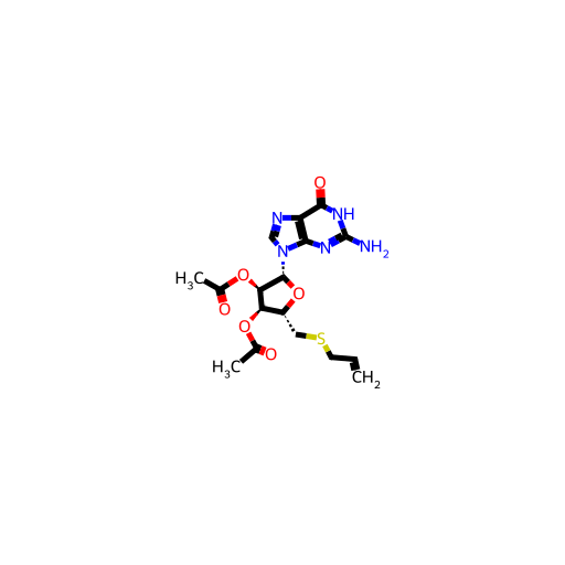 C=CCSC[C@H]1O[C@@H](n2cnc3c(=O)[nH]c(N)nc32)[C@H](OC(C)=O)[C@@H]1OC(C)=O